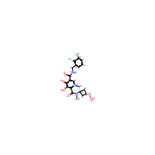 CCN1C(=O)c2c(O)c(=O)c(C(=O)NCc3cccc(Cl)c3F)cn2C[C@]12C[C@@H](OO)C2